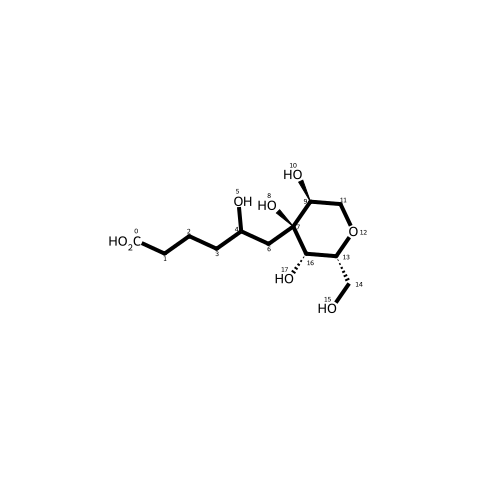 O=C(O)CCCC(O)C[C@]1(O)[C@@H](O)CO[C@H](CO)[C@@H]1O